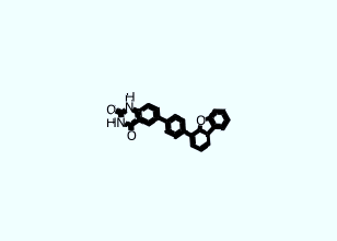 O=c1[nH]c(=O)c2cc(-c3ccc(C4=CC=CC5c6ccccc6OC45)cc3)ccc2[nH]1